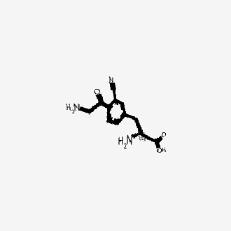 N#Cc1cc(C[C@H](N)C(=O)O)ccc1C(=O)CN